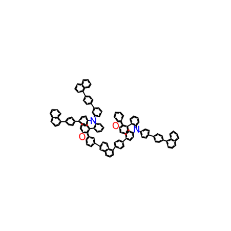 c1cc(-c2ccc(-c3cccc4ccccc34)cc2)cc(N(c2ccc(-c3ccc(-c4cccc5ccccc45)cc3)cc2)c2ccccc2-c2cccc3oc4ccc(-c5ccc6c(-c7ccc(-c8ccc(N(c9ccc(-c%10ccc(-c%11cccc%12ccccc%11%12)cc%10)cc9)c9ccccc9-c9cccc%10oc%11ccccc%11c9%10)cc8)cc7)cccc6c5)cc4c23)c1